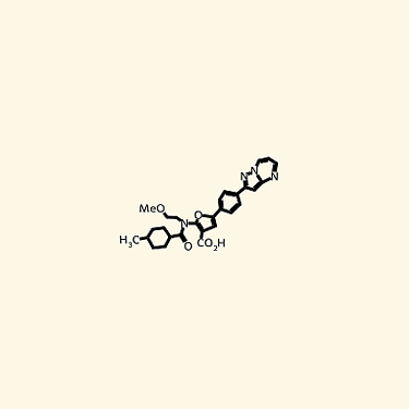 COCCN(C(=O)C1CCC(C)CC1)c1oc(-c2ccc(-c3cc4ncccn4n3)cc2)cc1C(=O)O